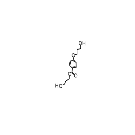 O=C(OCCCO)c1ccc(OCCCO)cc1